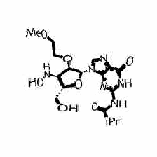 COCCO[C@@H]1[C@H](NO)[C@@H](CO)O[C@H]1n1cnc2c(=O)[nH]c(NC(=O)C(C)C)nc21